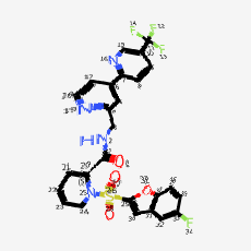 O=C(NCc1cc(-c2ccc(C(F)(F)F)cn2)ccn1)[C@@H]1CC=CCN1S(=O)(=O)c1cc2cc(F)ccc2o1